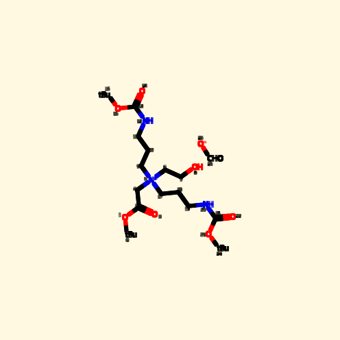 CC(C)(C)OC(=O)C[N+](CCO)(CCCNC(=O)OC(C)(C)C)CCCNC(=O)OC(C)(C)C.O=C[O-]